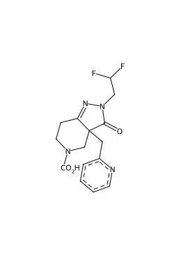 O=C(O)N1CCC2=NN(CC(F)F)C(=O)C2(Cc2ccccn2)C1